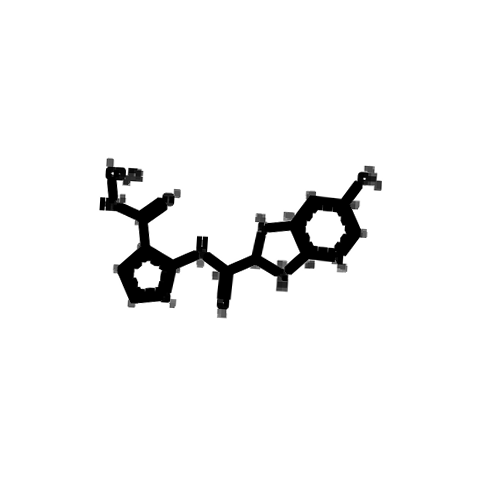 CCOC(=O)NC(=O)c1ccsc1NC(=O)C1Nc2ncc(C)cc2S1